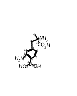 C[C@](N)(Cc1ccc(B(O)O)c(N)c1)C(=O)O